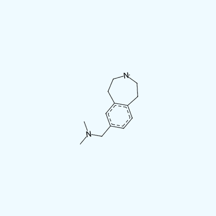 CN(C)Cc1ccc2c(c1)CC[N]CC2